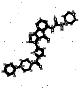 O=C(Nc1cccc2c1C(=O)C1=C(c3ccc(C(=O)N4CCN(c5ccccn5)CC4)s3)N=NC12)NN1CCOCC1